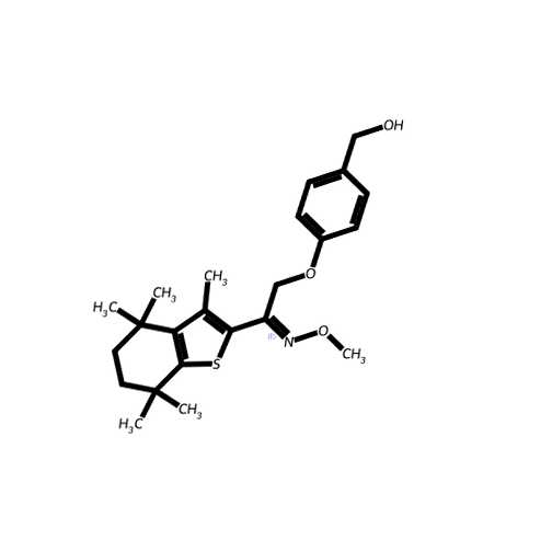 CO/N=C(\COc1ccc(CO)cc1)c1sc2c(c1C)C(C)(C)CCC2(C)C